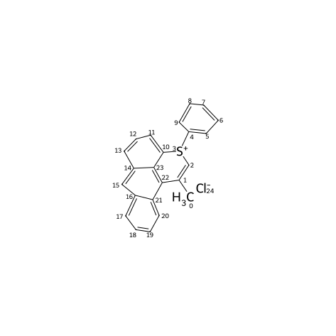 CC1=C[S+](c2ccccc2)c2cccc3cc4ccccc4c1c23.[Cl-]